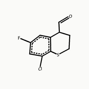 O=CC1CCSc2c(Cl)cc(F)cc21